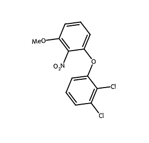 COc1cccc(Oc2cccc(Cl)c2Cl)c1[N+](=O)[O-]